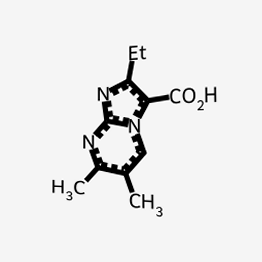 CCc1nc2nc(C)c(C)cn2c1C(=O)O